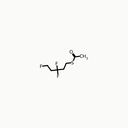 CC(=O)SCCC(F)(F)CCF